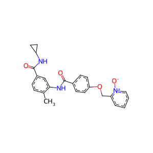 Cc1ccc(C(=O)NC2CC2)cc1NC(=O)c1ccc(OCc2cccc[n+]2[O-])cc1